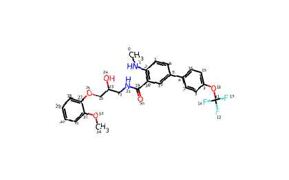 CNc1ccc(-c2ccc(OC(F)(F)F)cc2)cc1C(=O)NCC(O)COc1ccccc1OC